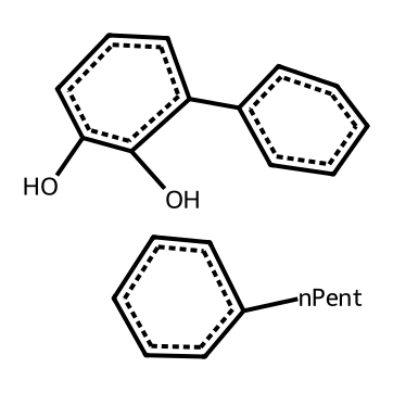 CCCCCc1ccccc1.Oc1cccc(-c2ccccc2)c1O